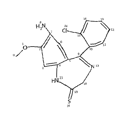 COc1cc2c(cc1N)C(c1ccccc1Cl)=NCC(=S)N2